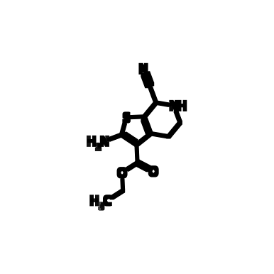 CCOC(=O)c1c(N)sc2c1CCNC2C#N